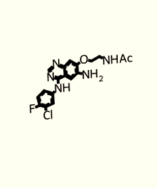 CC(=O)NCCOc1cc2ncnc(Nc3ccc(F)c(Cl)c3)c2cc1N